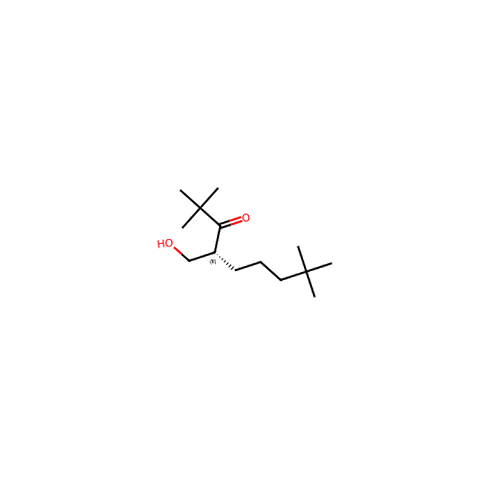 CC(C)(C)CCC[C@H](CO)C(=O)C(C)(C)C